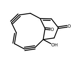 O=C1C=C2CC#C/C=C/C#CC(O)(C1)C2=O